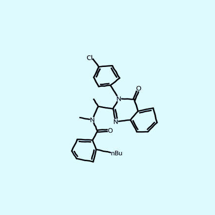 CCCCc1ccccc1C(=O)N(C)C(C)c1nc2ccccc2c(=O)n1-c1ccc(Cl)cc1